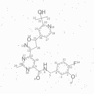 COc1cc(CNC(=O)c2cc(C3=NOC(c4ccnc(C(C)(C)O)c4)C3)nc(C)n2)ccc1F